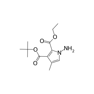 CCOC(=O)c1c(C(=O)OC(C)(C)C)c(C)cn1N